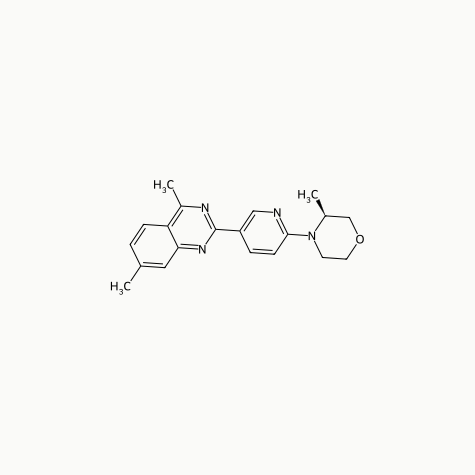 Cc1ccc2c(C)nc(-c3ccc(N4CCOC[C@@H]4C)nc3)nc2c1